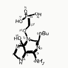 CCCCC1=NC(N)=C2NC=NC2(O)N1OCP(=O)(O)O